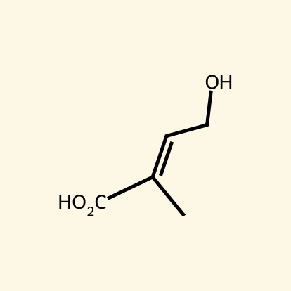 CC(=CCO)C(=O)O